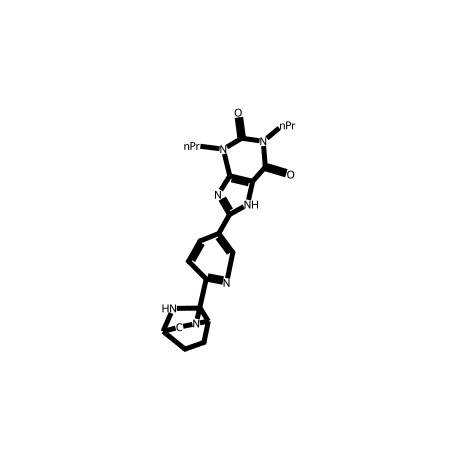 CCCn1c(=O)c2[nH]c(-c3ccc(N4CC5CCC4CN5)nc3)nc2n(CCC)c1=O